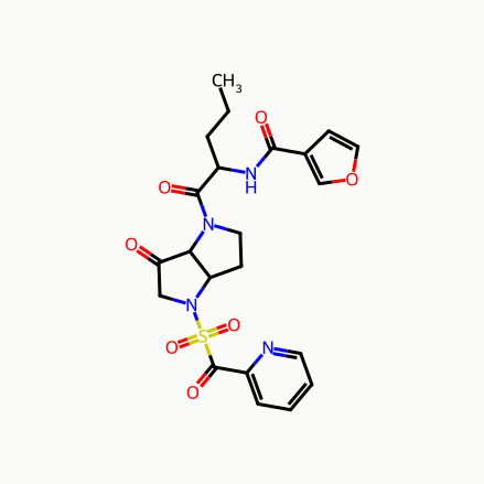 CCCC(NC(=O)c1ccoc1)C(=O)N1CCC2C1C(=O)CN2S(=O)(=O)C(=O)c1ccccn1